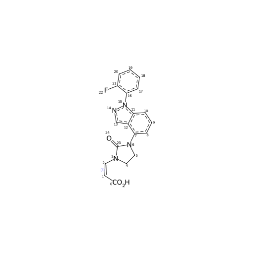 O=C(O)/C=C\N1CCN(c2cccc3c2cnn3-c2ccccc2F)C1=O